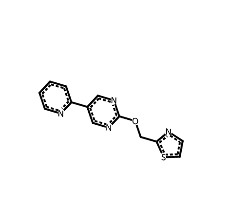 c1ccc(-c2cnc(OCc3nccs3)nc2)nc1